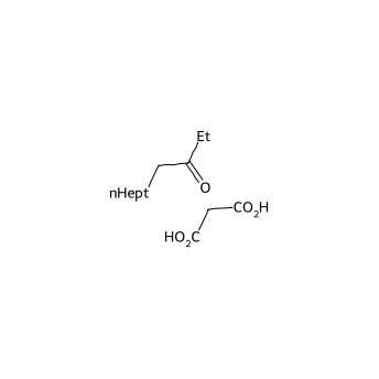 CCCCCCCCC(=O)CC.O=C(O)CC(=O)O